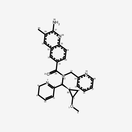 COC1C[C@@H]1C(C1=NCCC=C1)N(Cc1ccccn1)C(=O)c1ccc2nc(N)c(C)cc2c1